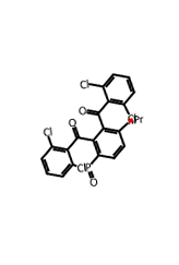 CCCc1ccc(P=O)c(C(=O)c2c(Cl)cccc2Cl)c1C(=O)c1c(Cl)cccc1Cl